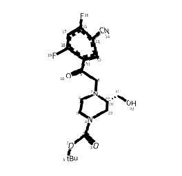 CC(C)(C)OC(=O)N1CCN(CC(=O)c2cc(C#N)c(F)cc2F)[C@H](CO)C1